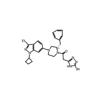 CCc1nn(C2CCC2)c2cc(N3CCN(C(=O)Cc4nnc(C(C)C)[nH]4)[C@@H](Cc4ccccc4)C3)ccc12